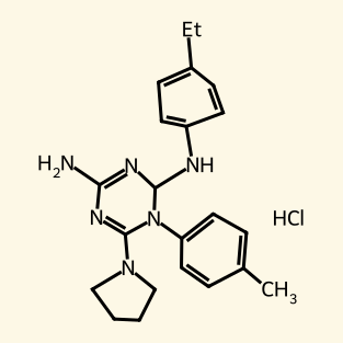 CCc1ccc(NC2N=C(N)N=C(N3CCCC3)N2c2ccc(C)cc2)cc1.Cl